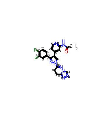 CC(=O)Nc1cc(-c2cn(C3=Nn4cnnc4CC3)nc2-c2ccc(F)c(F)c2)ccn1